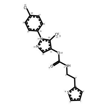 O=C(NCCc1cccs1)Oc1cnn(-c2ccc(Cl)cc2)c1C(F)(F)F